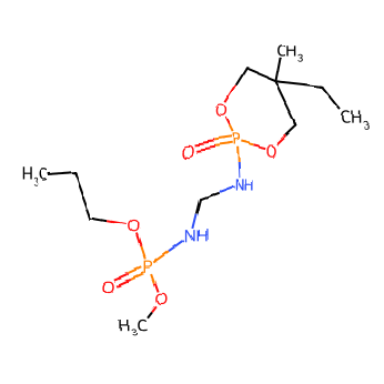 CCCOP(=O)(NCNP1(=O)OCC(C)(CC)CO1)OC